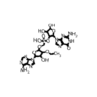 CCOC1C(OCP(=O)(O)OC2C(O)C(O)OC2n2cnc3c(=O)[nH]c(N)nc32)OC(n2cnc3c(N)ncnc32)C1O